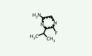 CC(C)c1nc(N)cnc1F